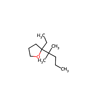 CCCC(C)(C)C1(CC)CCCO1